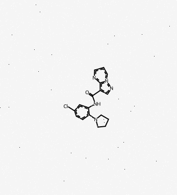 O=C(Nc1cc(Cl)ccc1N1CCCC1)c1cnn2cccnc12